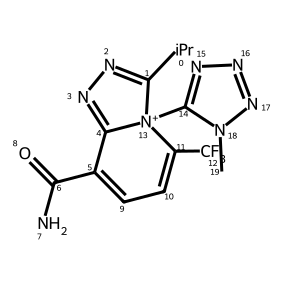 CC(C)C1=NN=C2C(C(N)=O)=CC=C(C(F)(F)F)[N+]21c1nnnn1C